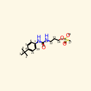 CC(C)(C)c1ccc(NC(=O)NCCCOS(C)(=O)=O)cc1